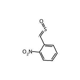 O=S=[C]c1ccccc1[N+](=O)[O-]